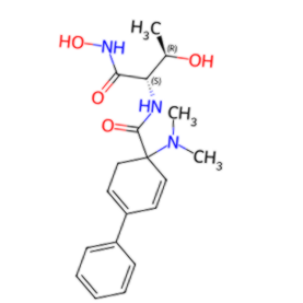 C[C@@H](O)[C@H](NC(=O)C1(N(C)C)C=CC(c2ccccc2)=CC1)C(=O)NO